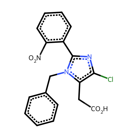 O=C(O)Cc1c(Cl)nc(-c2ccccc2[N+](=O)[O-])n1Cc1ccccc1